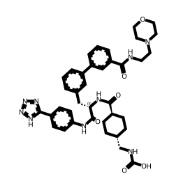 O=C(O)NC[C@H]1CC[C@H](C(=O)N[C@@H](Cc2cccc(-c3cccc(C(=O)NCCN4CCOCC4)c3)c2)C(=O)Nc2ccc(-c3nnn[nH]3)cc2)CC1